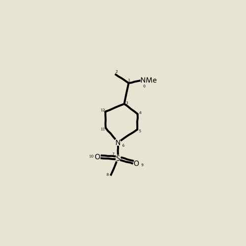 CNC(C)C1CCN(S(C)(=O)=O)CC1